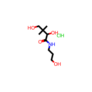 CC(C)(CO)C(O)C(=O)NCCCO.Cl